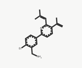 C=C(C)c1ccc(-c2ccc(CC)c(CN)c2)nc1C=C(C)C